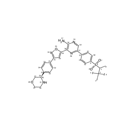 CC(C(I)(I)I)S(=O)(=O)c1ccc(-c2cnc(N)c(-c3cc(-c4ccc([C@@H]5COCCN5)cc4)no3)n2)cc1